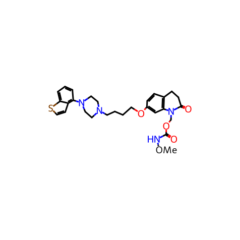 CONC(=O)OCN1C(=O)CCc2ccc(OCCCCN3CCN(c4cccc5sccc45)CC3)cc21